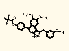 COc1cccc(Cc2n[nH]c3nc(-c4ccc(OC(=O)C(F)(F)F)cc4)c4cc(OC)c(OC)cc4c23)c1